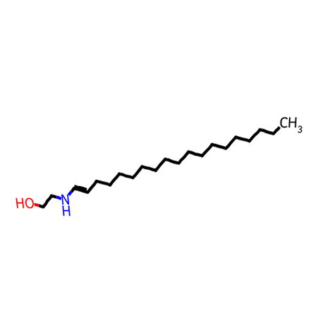 CCCCCCCCCCCCCCCCCC=CNCCO